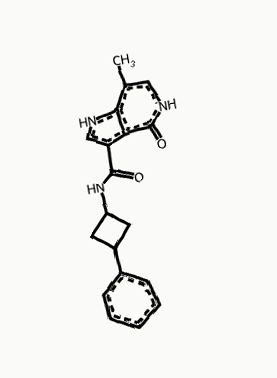 Cc1c[nH]c(=O)c2c(C(=O)NC3CC(c4ccccc4)C3)c[nH]c12